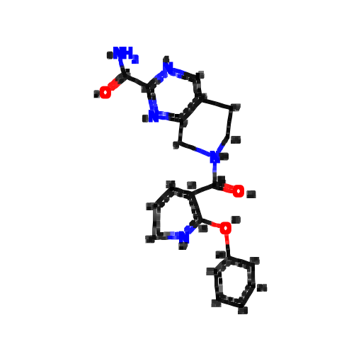 NC(=O)c1n[c]c2c(n1)CN(C(=O)c1cccnc1Oc1ccccc1)CC2